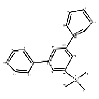 C[Si](C)(C)c1cc(-c2ccccc2)cc(-c2ccccc2)c1